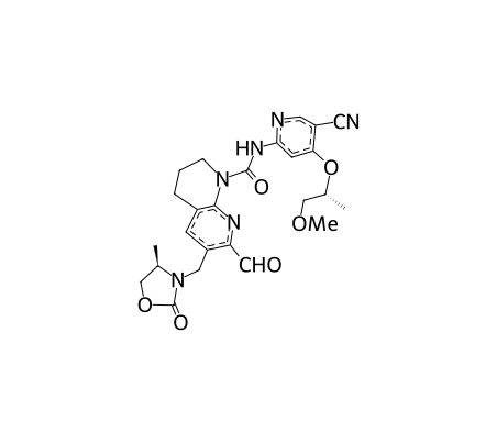 COC[C@@H](C)Oc1cc(NC(=O)N2CCCc3cc(CN4C(=O)OC[C@H]4C)c(C=O)nc32)ncc1C#N